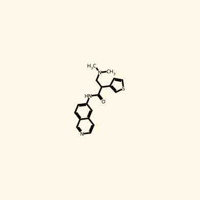 CN(C)CC(C(=O)Nc1ccc2cnccc2c1)c1ccsc1